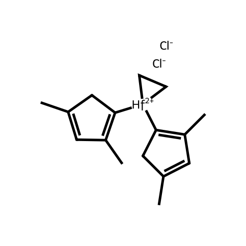 CC1=CC(C)=[C]([Hf+2]2([C]3=C(C)C=C(C)C3)[CH2][CH2]2)C1.[Cl-].[Cl-]